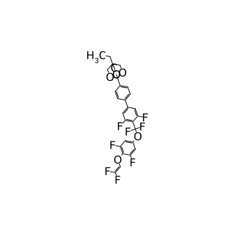 CCC12COC(c3ccc(-c4cc(F)c(C(F)(F)Oc5cc(F)c(OC=C(F)F)c(F)c5)c(F)c4)cc3)(OC1)OC2